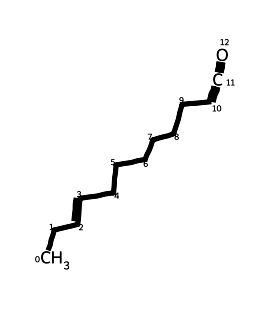 CCC=CCCCCCCC=C=O